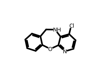 Clc1ccnc2c1NCc1ccccc1O2